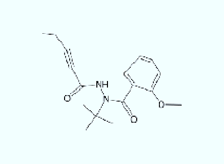 CCC#CC(=O)NN(C(=O)c1ccccc1OC)C(C)(C)C